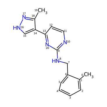 Cc1ccccc1CNc1nccc(-c2c[nH]nc2C)n1